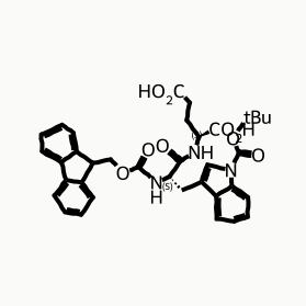 CC(C)(C)OC(=O)n1cc(C[C@H](NC(=O)OCC2c3ccccc3-c3ccccc32)C(=O)N[C@@H](CCC(=O)O)C(=O)O)c2ccccc21